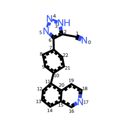 N#Cc1[nH]nnc1-c1ccc(-c2cccc3cnccc23)cc1